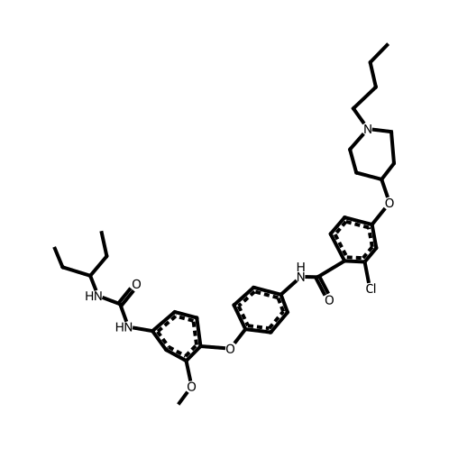 CCCCN1CCC(Oc2ccc(C(=O)Nc3ccc(Oc4ccc(NC(=O)NC(CC)CC)cc4OC)cc3)c(Cl)c2)CC1